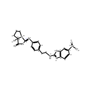 O=C1S/C(=N\c2ccc(CCNc3nc4ccc([N+](=O)[O-])cc4s3)cc2)N2CCC[C@@H]12